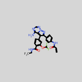 C=CC(=O)Nc1ccc(-c2nn3ncnc(N)c3c2-c2ccc(C(=O)NCC(F)(F)F)c(OC(F)F)c2)cc1